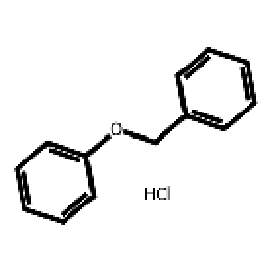 Cl.c1ccc(COc2ccccc2)cc1